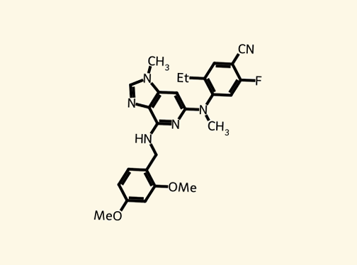 CCc1cc(C#N)c(F)cc1N(C)c1cc2c(ncn2C)c(NCc2ccc(OC)cc2OC)n1